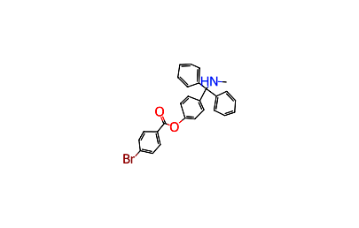 CNC(c1ccccc1)(c1ccccc1)c1ccc(OC(=O)c2ccc(Br)cc2)cc1